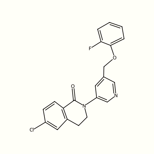 O=C1c2ccc(Cl)cc2CCN1c1cncc(COc2ccccc2F)c1